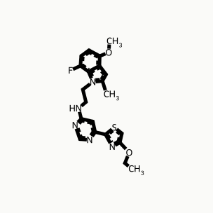 CCOc1csc(-c2cc(NCCn3c(C)cc4c(OC)ccc(F)c43)ncn2)n1